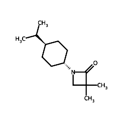 CC(C)[C@H]1CC[C@H](N2CC(C)(C)C2=O)CC1